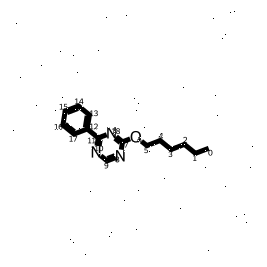 CCCCCCOc1ncnc(-c2ccccc2)n1